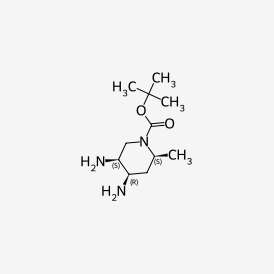 C[C@H]1C[C@@H](N)[C@@H](N)CN1C(=O)OC(C)(C)C